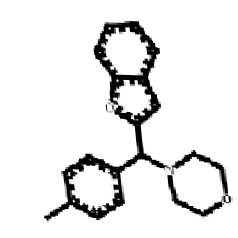 Cc1ccc(C(c2cc3ccccc3o2)N2CCOCC2)cc1